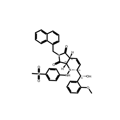 COc1ccccc1[C@@H](O)[C@H]1C=C[C@H]2C(=O)N(Cc3cccc4ccccc34)C(=O)[C@H]2N1Nc1ccc(S(C)(=O)=O)cc1